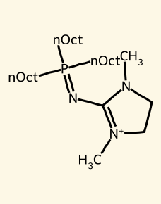 CCCCCCCCP(CCCCCCCC)(CCCCCCCC)=NC1=[N+](C)CCN1C